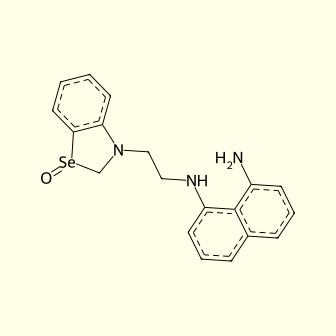 Nc1cccc2cccc(NCCN3C[Se](=O)c4ccccc43)c12